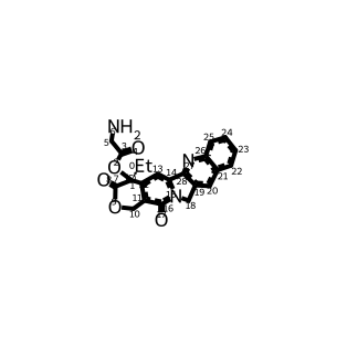 CC[C@@]1(OC(=O)CN)C(=O)OCc2c1cc1n(c2=O)Cc2cc3ccccc3nc2-1